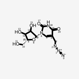 [N-]=[N+]=NCc1cn([C@@H]2O[C@H](CO)C(O)C2O)c(=O)[nH]c1=O